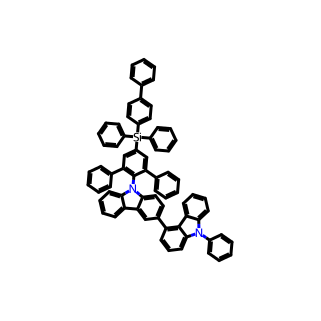 c1ccc(-c2ccc([Si](c3ccccc3)(c3ccccc3)c3cc(-c4ccccc4)c(-n4c5ccccc5c5cc(-c6cccc7c6c6ccccc6n7-c6ccccc6)ccc54)c(-c4ccccc4)c3)cc2)cc1